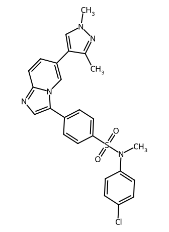 Cc1nn(C)cc1-c1ccc2ncc(-c3ccc(S(=O)(=O)N(C)c4ccc(Cl)cc4)cc3)n2c1